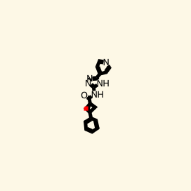 O=C(Nc1nnc(-c2ccncc2)[nH]1)C12CC(c3ccccc3)(C1)C2